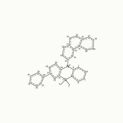 C[Si]1(C)c2ccccc2N(c2ccc3ccc4ccccc4c3c2)c2ccc(-c3ccccc3)cc21